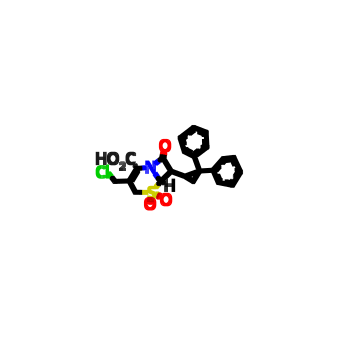 O=C(O)C1=C(CCl)CS(=O)(=O)[C@H]2C(C3CC3(c3ccccc3)c3ccccc3)C(=O)N12